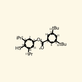 CC(C)c1cc(OC(=O)c2cc(C(C)(C)C)cc(C(C)(C)C)c2)cc(C(C)C)c1S